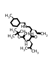 C=CC[C@@H](CNC[C@H]1CCC[C@@H](C)C1)NC(=O)[C@@H](CC(C)C)NC(=O)OC(C)(C)C